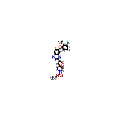 CC(C)(C)OC(=O)N1CCC2(CC1)C[C@H](c1cnc3ccc(Oc4c(F)ccc(F)c4C#N)cc3n1)CO2